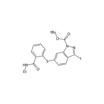 CCNC(=O)c1ccccc1Sc1ccc2c(I)nn(C(=O)OC(C)(C)C)c2c1